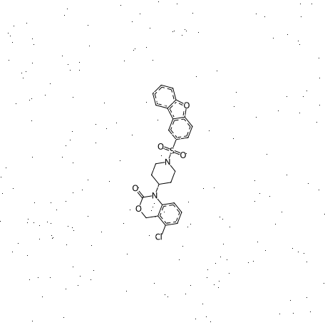 O=C1OCc2c(Cl)cccc2N1C1CCN(S(=O)(=O)c2ccc3oc4ccccc4c3c2)CC1